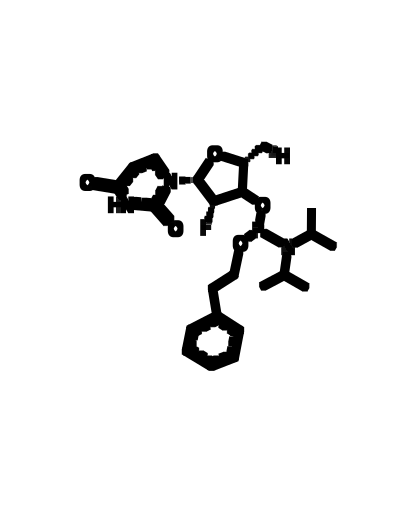 [2H]C[C@H]1O[C@@H](n2ccc(=O)[nH]c2=O)[C@@H](F)C1OP(OCCc1ccccc1)N(C(C)C)C(C)C